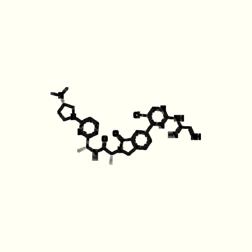 C[C@H](C(=O)N[C@H](C)c1cccc(N2CC[C@H](N(C)C)C2)n1)N1Cc2ccc(-c3nc(NC(=N)C=N)ncc3Cl)cc2C1=O